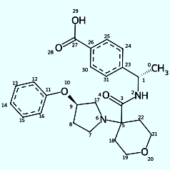 C[C@H](NC(=O)C1(N2CC[C@@H](Oc3ccccc3)C2)CCOCC1)c1ccc(C(=O)O)cc1